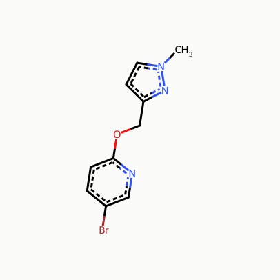 Cn1ccc(COc2ccc(Br)cn2)n1